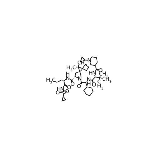 CCC[C@H](NC(=O)[C@@H]1C[C@@]2(CN1C(=O)[C@@H](NC(=O)[C@@H](NC(=O)[C@@H]1CCCN(C3CC3)C1)C(C)(C)C)C1CCCCC1)C(C)(C)C21CCC1)C(=O)NS(=O)(=O)C1CC1